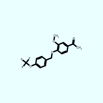 COc1cc(C(C)=O)ccc1OCc1ccc(OC(F)(F)F)cc1